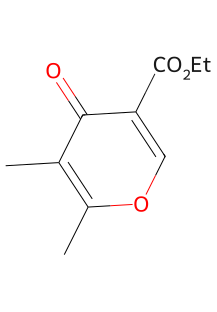 CCOC(=O)c1coc(C)c(C)c1=O